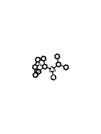 C1=CCC(c2nc(-c3cc(-c4ccccc4)cc(-c4ccccc4)c3)nc(-c3cc(-c4ccccc4)c(-n4c5ccccc5c5ccc6c7ccccc7sc6c54)c(-c4ccccc4)c3)n2)C=C1